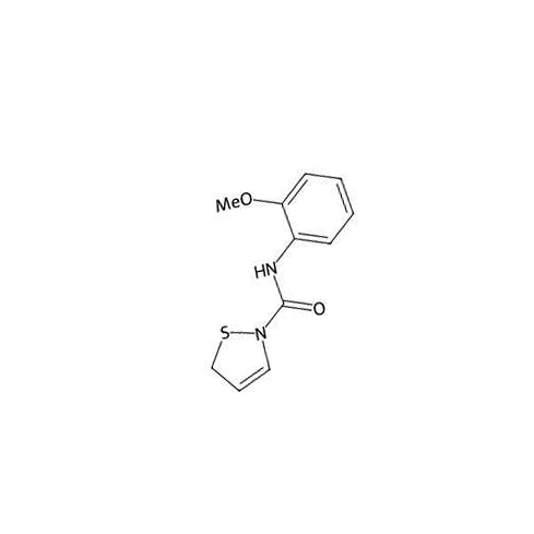 COc1ccccc1NC(=O)N1C=CCS1